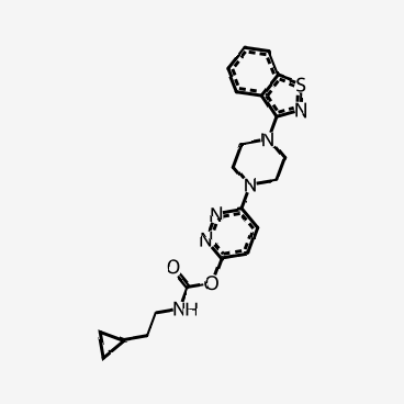 O=C(NCCC1CC1)Oc1ccc(N2CCN(c3nsc4ccccc34)CC2)nn1